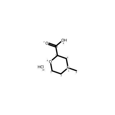 CN1CCOC(C(=O)O)C1.Cl